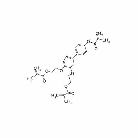 C=C(C)C(=O)OCCOC1=CC=C(c2ccc(OC(=O)C(=C)C)cc2)CC1OCCOC(=O)C(=C)C